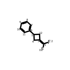 FC(F)=C1CC(c2ccccc2)C1